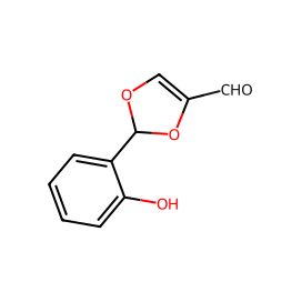 O=CC1=COC(c2ccccc2O)O1